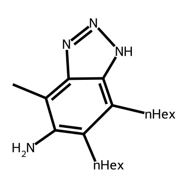 CCCCCCc1c(N)c(C)c2nn[nH]c2c1CCCCCC